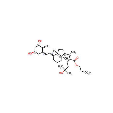 C=C1/C(=C\C=C2/CCC[C@]3(C)[C@@H]([C@H](C)C(CCC(C)(C)O)C(=O)OCCC(=O)O)CC[C@@H]23)C[C@@H](O)C[C@@H]1O